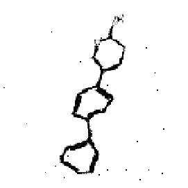 CCCC1CCC(c2ccc(-c3ccccc3)cc2)CO1